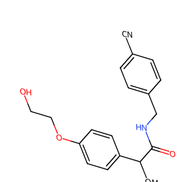 COC(C(=O)NCc1ccc(C#N)cc1)c1ccc(OCCO)cc1